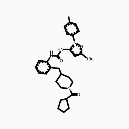 Cc1ccc(-n2nc(C(C)(C)C)cc2NC(=O)Nc2ccccc2CC2CCN(C(=O)C3CCCC3)CC2)cc1